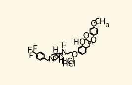 COc1ccc(O[C@@H](Cc2ccc(OCCN[C@H]3[C@@H]4CN(Cc5ccc(C(F)(F)F)cc5)C[C@@H]43)cc2)C(=O)O)cc1.Cl.Cl